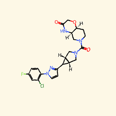 O=C1CO[C@H]2CCN(C(=O)N3C[C@@H]4C(c5ccn(-c6ccc(F)cc6Cl)n5)[C@@H]4C3)C[C@H]2N1